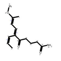 C\C=C/C(=C\C=C(/C)OC(C)C)C(=O)CCCC(N)=O